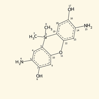 C[Si]1(C)c2cc(N)c(O)cc2Oc2cc(N)c(O)cc21